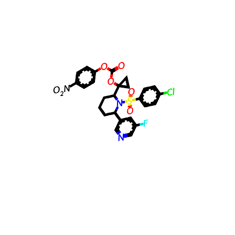 O=C(Oc1ccc([N+](=O)[O-])cc1)OC1(C2CCCC(c3cncc(F)c3)N2S(=O)(=O)c2ccc(Cl)cc2)CC1